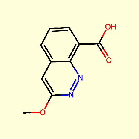 COc1cc2cccc(C(=O)O)c2nn1